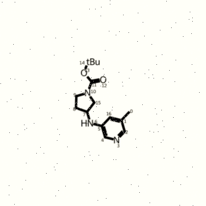 Cc1cncc(NC2CCN(C(=O)OC(C)(C)C)C2)c1